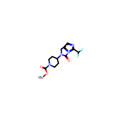 CC(C)(C)OC(=O)N1CCC(N2Cc3cnc(C(F)F)n3C2=O)CC1